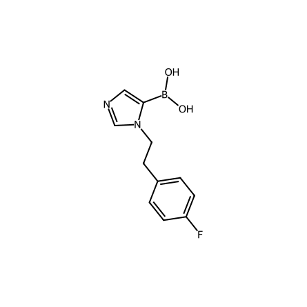 OB(O)c1cncn1CCc1ccc(F)cc1